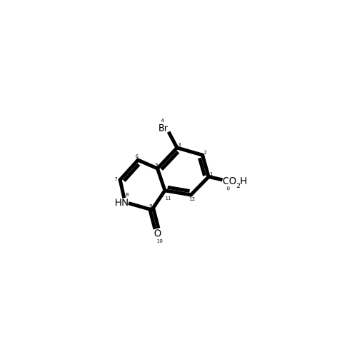 O=C(O)c1cc(Br)c2cc[nH]c(=O)c2c1